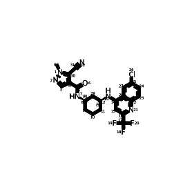 Cn1ncc(C(=O)N[C@@H]2CCC[C@H](Nc3cc(C(F)(F)F)nc4ccc(Cl)cc34)C2)c1C#N